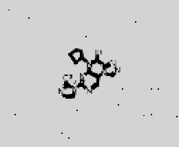 CCC1c2nncn2-c2cnc(-n3ccnc3C(F)(F)F)nc2N1C1CCCC1